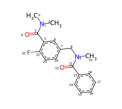 CN(C)C(=O)c1cc(CN(C)C(=O)c2ccccc2)ccc1F